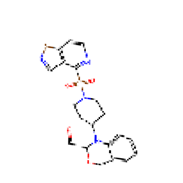 O=CC1OCc2ccccc2N1C1CCN(S(=O)(=O)c2nccc3sncc23)CC1